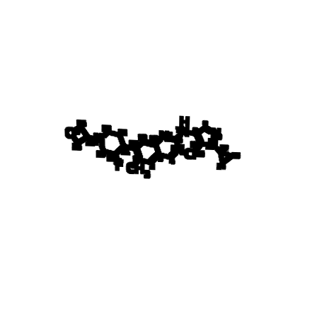 Cc1cc2cnc(Nc3cnn(C4CC4)c3Cl)nc2cc1C1CCN(C2COC2)CC1F